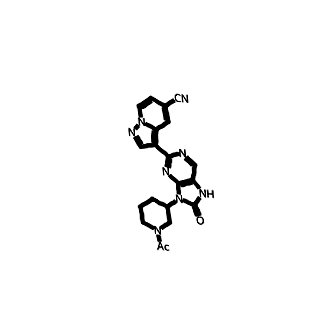 CC(=O)N1CCCC(n2c(=O)[nH]c3cnc(-c4cnn5ccc(C#N)cc45)nc32)C1